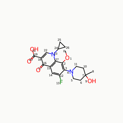 COc1c(N2CCC(C)(O)CC2)c(F)cc2c(=O)c(C(=O)O)cn(C3CC3)c12